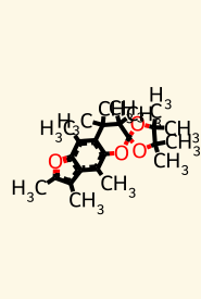 Cc1oc2c(C)c3c(c(C)c2c1C)OC1(OC(C)(C)C(C)(C)O1)C(C)(C)C3(C)C